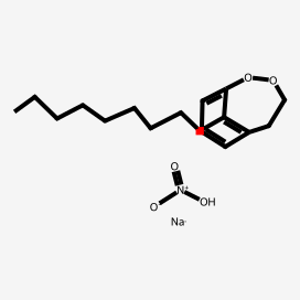 CCCCCCCCCc1c2cccc1OOCC2.O=[N+]([O-])O.[Na]